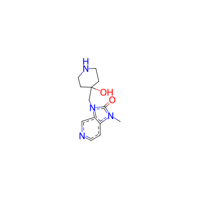 Cn1c(=O)n(CC2(O)CCNCC2)c2cnccc21